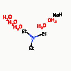 CCN(CC)CC.O.O.O.O.O.[NaH]